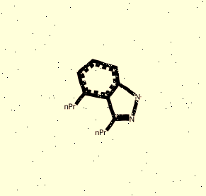 CCCC1=N[N]c2cccc(CCC)c21